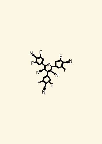 N#Cc1c(F)cc(-c2nc(-c3cc(F)c(C#N)c(F)c3)c(C#N)c(-c3cc(F)c(C#N)c(F)c3)c2C#N)cc1F